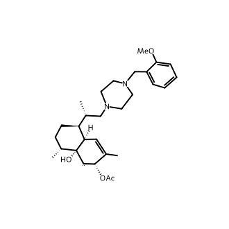 COc1ccccc1CN1CCN(C[C@@H](C)[C@@H]2CC[C@@H](C)[C@]3(O)[C][C@@H](OC(C)=O)C(C)=C[C@H]23)CC1